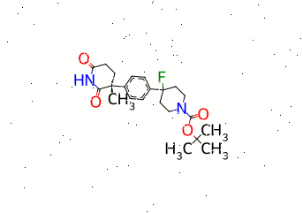 CC(C)(C)OC(=O)N1CCC(F)(c2ccc([C@@]3(C)CCC(=O)NC3=O)cc2)CC1